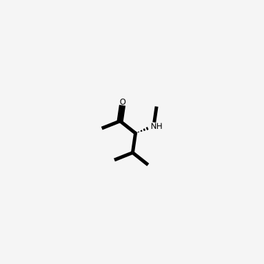 CN[C@@H](C(C)=O)C(C)C